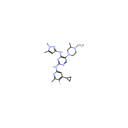 Cc1nc(Nc2ncc(N3CCN(C(=O)O)C(C)C3)c(Nc3cc(C)n(C)n3)n2)cc(C2CC2)c1F